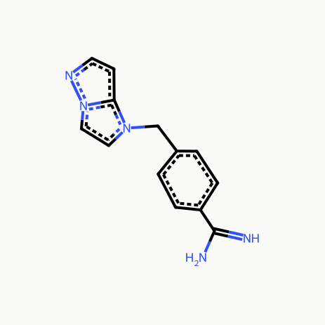 N=C(N)c1ccc(Cn2ccn3nccc23)cc1